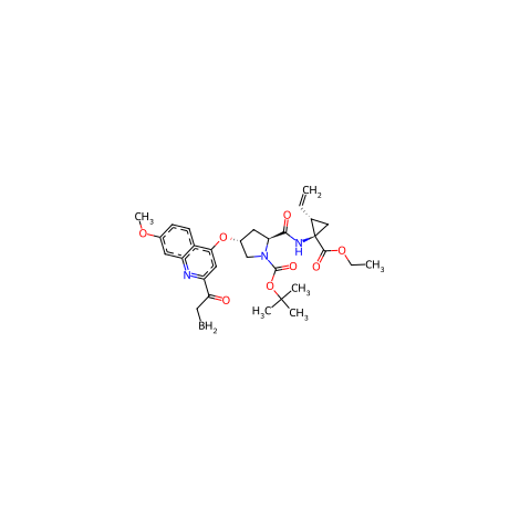 BCC(=O)c1cc(O[C@@H]2C[C@@H](C(=O)N[C@]3(C(=O)OCC)C[C@H]3C=C)N(C(=O)OC(C)(C)C)C2)c2ccc(OC)cc2n1